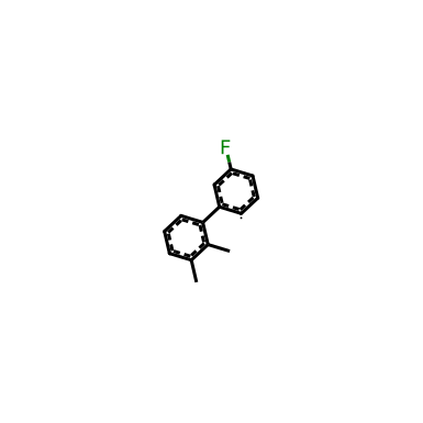 Cc1cccc(-c2[c]ccc(F)c2)c1C